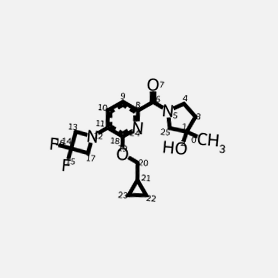 CC1(O)CCN(C(=O)c2ccc(N3CC(F)(F)C3)c(OCC3CC3)n2)C1